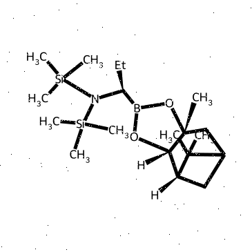 CC[C@@H](B1O[C@H]2[C@H]3CC(C[C@@]2(C)O1)C3(C)C)N([Si](C)(C)C)[Si](C)(C)C